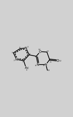 CC(=O)c1nccnc1C1=NN(C)C(=O)CO1